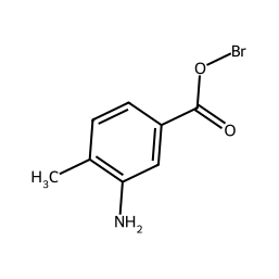 Cc1ccc(C(=O)OBr)cc1N